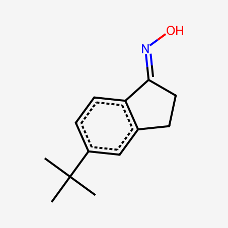 CC(C)(C)c1ccc2c(c1)CCC2=NO